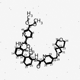 COC(OC)c1ccc(C(=O)Nc2cccc(-c3cccc(NC(=O)c4ccc(CN5CC6(CCOCC6)C5)cn4)c3Cl)c2C)nc1